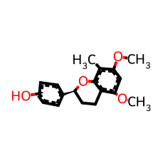 COc1cc(OC)c2c(c1C)O[C@H](c1ccc(O)cc1)CC2